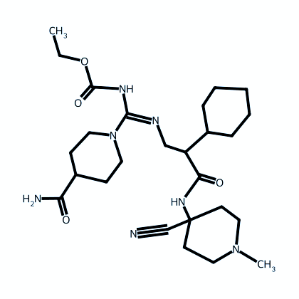 CCOC(=O)NC(=NCC(C(=O)NC1(C#N)CCN(C)CC1)C1CCCCC1)N1CCC(C(N)=O)CC1